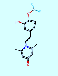 Cc1cc(=O)cc(C)n1C=Cc1ccc(OC(F)F)c(O)c1